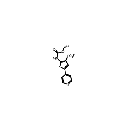 CC(C)(C)OC(=O)Nc1sc(-c2ccncc2)cc1C(=O)O